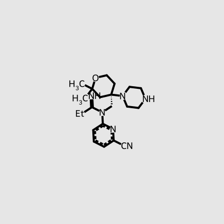 CCC(=N)N(C[C@@]1(N2CCNCC2)CCOC(C)(C)C1)c1cccc(C#N)n1